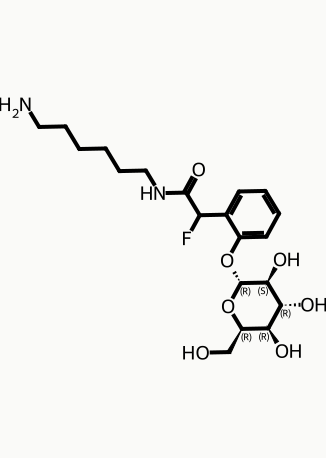 NCCCCCCNC(=O)C(F)c1ccccc1O[C@H]1O[C@H](CO)[C@H](O)[C@@H](O)[C@@H]1O